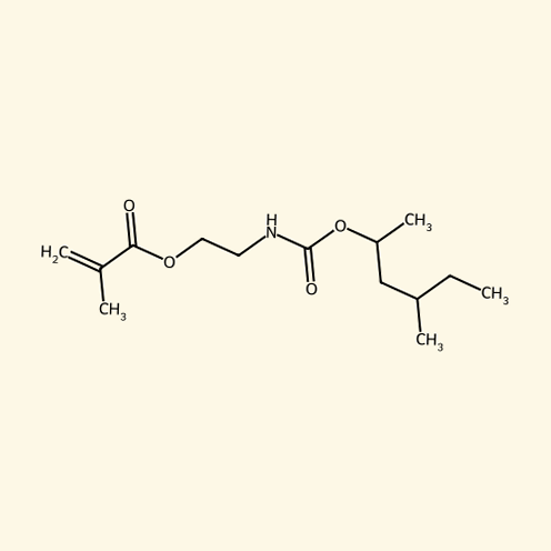 C=C(C)C(=O)OCCNC(=O)OC(C)CC(C)CC